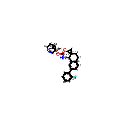 O=C(NC1c2cc(-c3ccccc3F)ccc2CCC12CC2)O[C@H]1CN2CCC1CC2